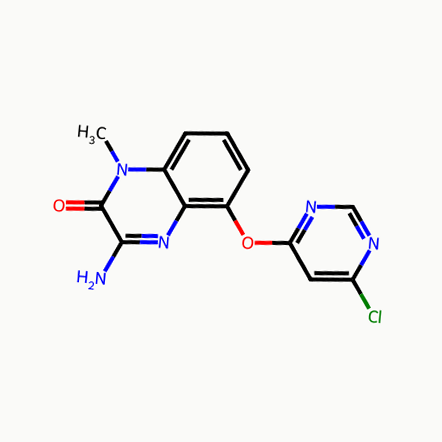 Cn1c(=O)c(N)nc2c(Oc3cc(Cl)ncn3)cccc21